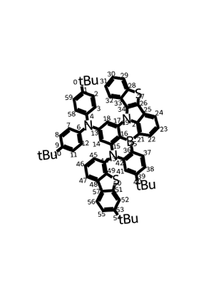 CC(C)(C)c1ccc(N(c2ccc(C(C)(C)C)cc2)c2cc3c4c(c2)-n2c5c(cccc5c5sc6ccccc6c52)B4c2ccc(C(C)(C)C)cc2N3c2cccc3c2sc2cc(C(C)(C)C)ccc23)cc1